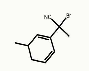 CC1C=C(C(C)(Br)C#N)C=CC1